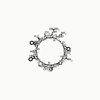 CCCC[C@H]1C(=O)N(C)[C@@H](CCCC)C(=O)N[C@@H](CCCNC(=N)N)C(=O)N[C@H](C(=O)NCC(N)=O)CSCC(=O)N[C@@H](Cc2ccncc2)C(=O)N(C)[C@@H](C)C(=O)N[C@@H](CC(N)=O)C(=O)N2CCC[C@H]2C(=O)N[C@@H](Cc2cnc[nH]2)C(=O)N[C@@H](CC(C)C)C(=O)N(C)CC(=O)N[C@@H](Cc2c[nH]c3ccccc23)C(=O)N[C@@H](CO)C(=O)N[C@@H](Cc2c[nH]c3ccccc23)C(=O)N1C